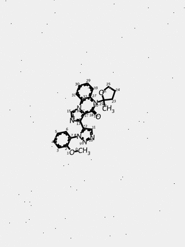 COc1ccccc1-n1nncc1-c1ncn2c1c(=O)n(C1(C)CCCO1)c1ccccc12